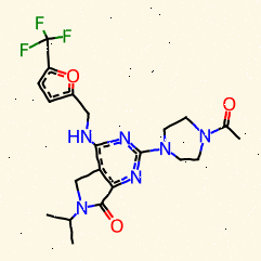 CC(=O)N1CCN(c2nc(NCc3ccc(C(F)(F)F)o3)c3c(n2)C(=O)N(C(C)C)C3)CC1